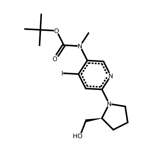 CN(C(=O)OC(C)(C)C)c1cnc(N2CCC[C@H]2CO)cc1I